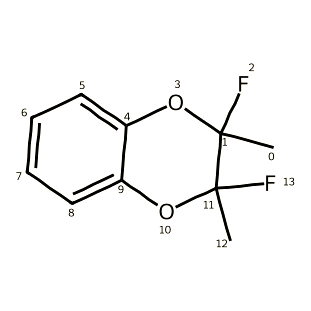 CC1(F)Oc2ccccc2OC1(C)F